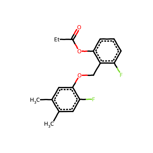 CCC(=O)Oc1cccc(F)c1COc1cc(C)c(C)cc1F